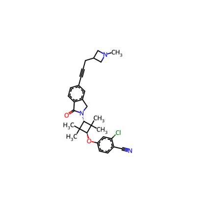 CN1CC(CC#Cc2ccc3c(c2)CN([C@H]2C(C)(C)[C@H](Oc4ccc(C#N)c(Cl)c4)C2(C)C)C3=O)C1